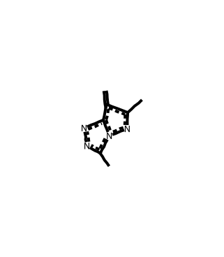 C=c1c(C)nn2c(C)nnc12